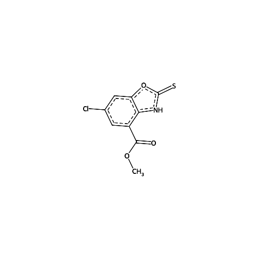 COC(=O)c1cc(Cl)cc2oc(=S)[nH]c12